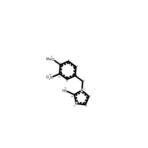 COc1ccc(Cn2ccnc2S)cc1[N+](=O)[O-]